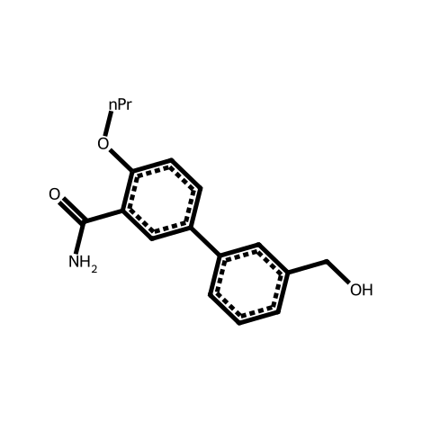 CCCOc1ccc(-c2cccc(CO)c2)cc1C(N)=O